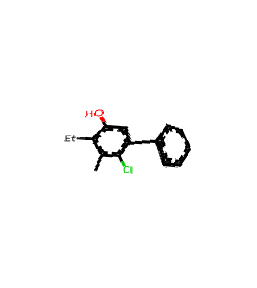 CCc1c(O)cc(-c2ccccc2)c(Cl)c1C